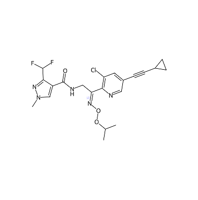 CC(C)OO/N=C(/CNC(=O)c1cn(C)nc1C(F)F)c1ncc(C#CC2CC2)cc1Cl